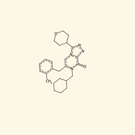 Cc1ccccc1Cc1cn2c(C3CCOCC3)nnc2c(=O)n1CC1CCCCC1